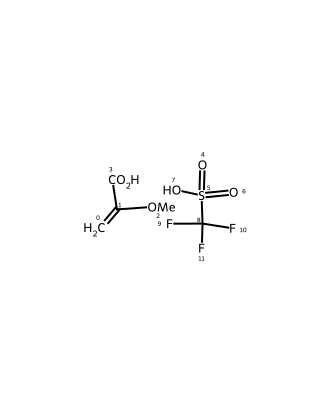 C=C(OC)C(=O)O.O=S(=O)(O)C(F)(F)F